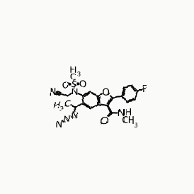 CNC(=O)c1c(-c2ccc(F)cc2)oc2cc(N(CC#N)S(C)(=O)=O)c(C(C)N=[N+]=[N-])cc12